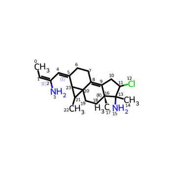 C/C=C(N)\C=C1\CCC2=C3CC(Cl)C(C)(N)[C@]3(C)CCC23C(C)C13